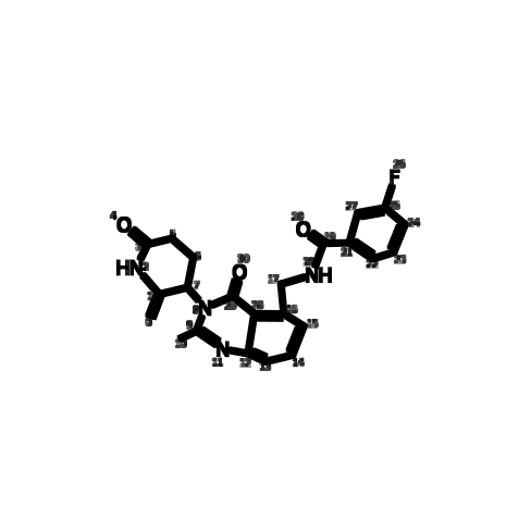 C=C1NC(=O)CCC1n1c(C)nc2cccc(CNC(=O)c3cccc(F)c3)c2c1=O